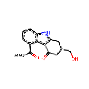 COC(=O)c1cccc2[nH]c3c(c12)C(=O)CC(CO)C3